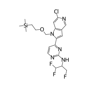 C[Si](C)(C)CCOCn1c(-c2ccnc(NC(CF)C(F)F)n2)cc2cnc(Cl)cc21